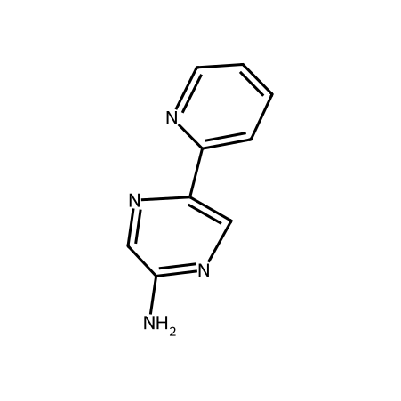 Nc1cnc(-c2ccccn2)cn1